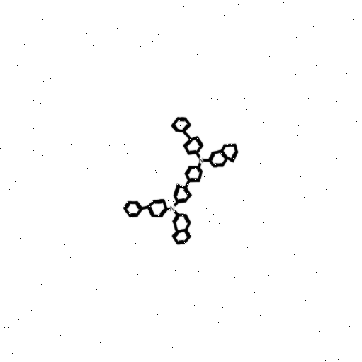 C1=Cc2ccc(N(c3ccc(-c4ccccc4)cc3)c3ccc(-c4ccc(N(c5ccc(-c6ccccc6)cc5)c5ccc6ccccc6c5)cc4)cc3)cc2CC1